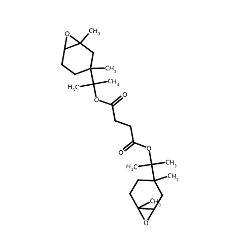 CC12CCC(C)(C(C)(C)OC(=O)CCC(=O)OC(C)(C)C3(C)CCC4OC4(C)C3)CC1O2